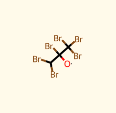 [O]C(Br)(C(Br)Br)C(Br)(Br)Br